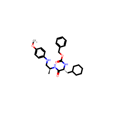 C[C@@H](CNc1ccc(OC(F)(F)F)cc1)NC(=O)[C@@H](CC1CCCCC1)NC(=O)OCc1ccccc1